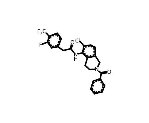 O=C(Cc1ccc(C(F)(F)F)c(F)c1)Nc1c(Cl)ccc2c1CCN(C(=O)c1ccccc1)C2